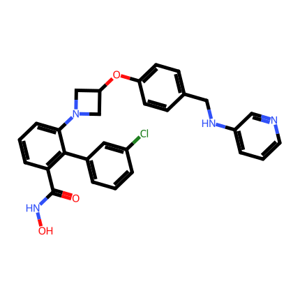 O=C(NO)c1cccc(N2CC(Oc3ccc(CNc4cccnc4)cc3)C2)c1-c1cccc(Cl)c1